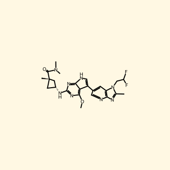 COc1nc(N[C@H]2C[C@@](C)(C(=O)N(C)C)C2)nc2[nH]cc(-c3cnc4nc(C)n(CC(F)F)c4c3)c12